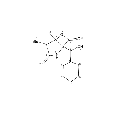 CCCCC1C(=O)NC2(C(O)C3CCCCC3)C(=O)OC12C